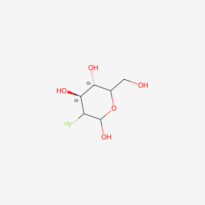 OCC1OC(O)C([18F])[C@@H](O)[C@@H]1O